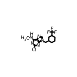 CNc1nc(Cl)nc2c1ncn2CC1CCCC(C(F)(F)F)C1